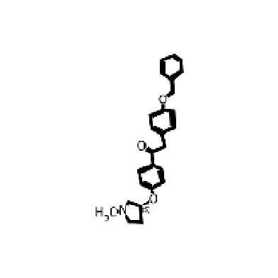 CN1CC[C@H](Oc2ccc(C(=O)Cc3ccc(OCc4ccccc4)cc3)cc2)C1